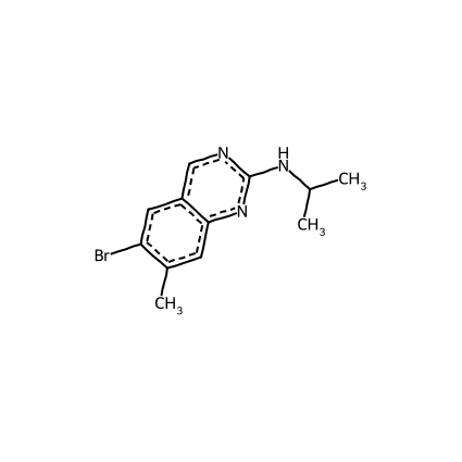 Cc1cc2nc(NC(C)C)ncc2cc1Br